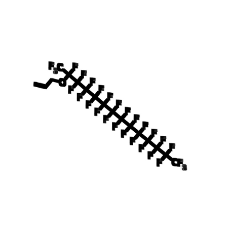 C=CCOC(F)(C(F)(F)F)C(F)(F)C(F)(F)C(F)(F)C(F)(F)C(F)(F)C(F)(F)C(F)(F)C(F)(F)C(F)(F)C(F)(F)C(F)(F)C(F)(F)F